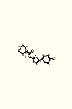 O=C(Nc1nc(-c2ccc(Cl)cc2)cs1)N1CCOCC1